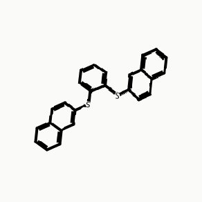 c1ccc(Sc2ccc3ccccc3c2)c(Sc2ccc3ccccc3c2)c1